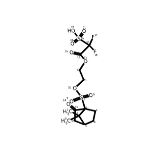 CC1(C)C2CCC1(S(=O)(=O)OCCOC(=O)C(F)(F)S(=O)(=O)O)C(=O)C2